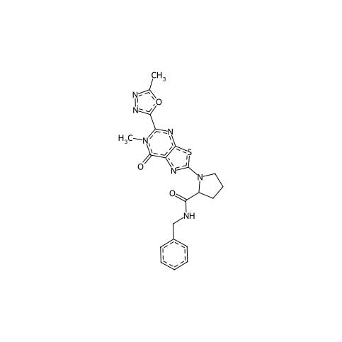 Cc1nnc(-c2nc3sc(N4CCCC4C(=O)NCc4ccccc4)nc3c(=O)n2C)o1